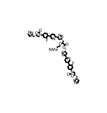 CNCCOC(C[C@@H]1CC(c2ccc(-c3ccc(N4C[C@H](Cn5ccnn5)OC4=O)cc3F)cn2)=NO1)C(=O)OC[C@@H]1CC(c2ccc(-c3ccc(N4C[C@H](Cn5ccnn5)OC4=O)cc3F)cn2)=NO1